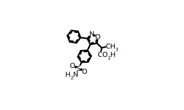 CC(C(=O)O)c1onc(-c2ccccc2)c1-c1ccc(S(N)(=O)=O)cc1